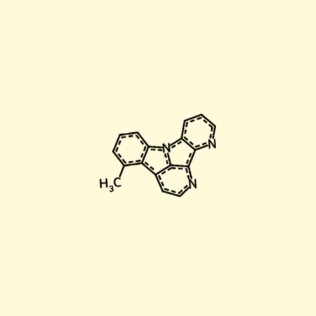 Cc1cccc2c1c1ccnc3c4ncccc4n2c13